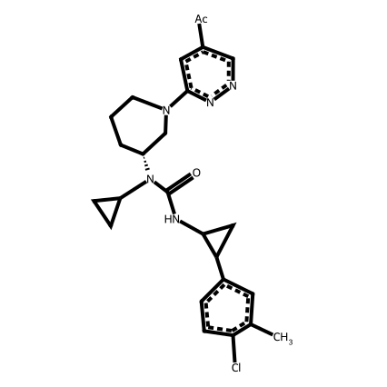 CC(=O)c1cnnc(N2CCC[C@@H](N(C(=O)NC3CC3c3ccc(Cl)c(C)c3)C3CC3)C2)c1